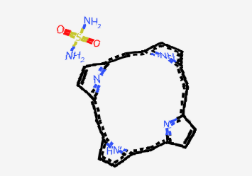 C1=Cc2cc3ccc(cc4nc(cc5ccc(cc1n2)[nH]5)C=C4)[nH]3.NS(N)(=O)=O